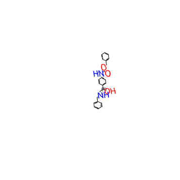 O=C(Nc1ccc([C@@H](O)CNCc2ccccc2)cc1)OCc1ccccc1